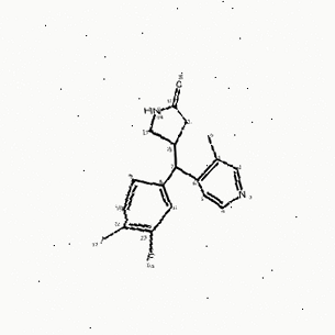 Cc1cnccc1C(c1ccc(I)c(F)c1)C1CNC(=O)C1